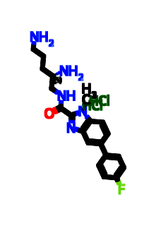 Cl.Cl.Cn1c(C(=O)NC[C@@H](N)CCCN)nc2cc(-c3ccc(F)cc3)ccc21